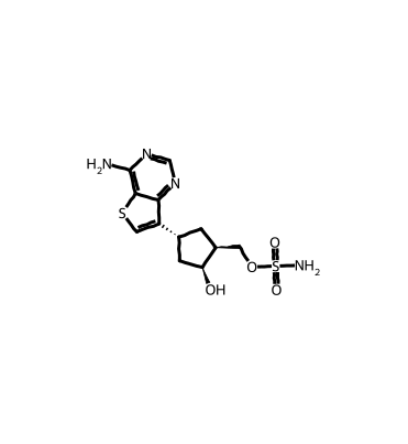 Nc1ncnc2c([C@@H]3C[C@@H](COS(N)(=O)=O)[C@@H](O)C3)csc12